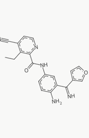 CCc1c(C#N)ccnc1C(=O)Nc1ccc(N)c(C(=N)c2ccoc2)c1